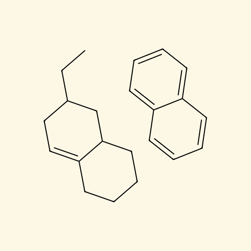 CCC1CC=C2CCCCC2C1.c1ccc2ccccc2c1